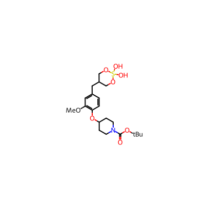 COc1cc(CC2COS(O)(O)OC2)ccc1OC1CCN(C(=O)OC(C)(C)C)CC1